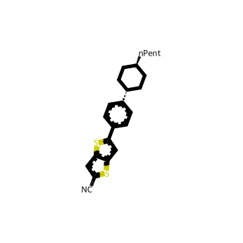 CCCCC[C@H]1CC[C@H](c2ccc(-c3cc4sc(C#N)cc4s3)cc2)CC1